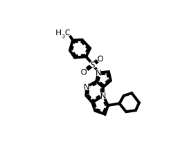 Cc1ccc(S(=O)(=O)n2ccc3c2ncc2ccc(C4CCCCC4)n23)cc1